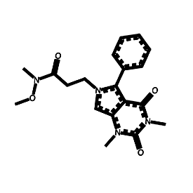 CON(C)C(=O)CCn1cc2c(c1-c1ccccc1)c(=O)n(C)c(=O)n2C